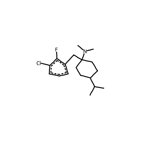 CC(C)C1CCC(Cc2cccc(Cl)c2F)(N(C)C)CC1